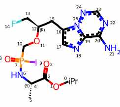 CC(C)OC(=O)[C@H](C)NP(=O)(I)CO[C@@H](CF)Cc1cnc2c(N)ncnn12